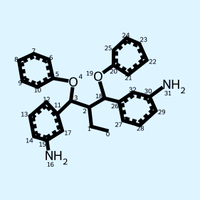 CCC(C(Oc1ccccc1)c1cccc(N)c1)C(Oc1ccccc1)c1cccc(N)c1